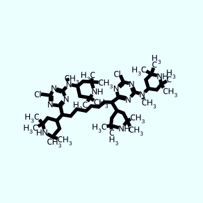 CN(c1nc(Cl)nc(C(CCCCCCC(c2nc(Cl)nc(N(C)C3CC(C)(C)NC(C)(C)C3)n2)C2CC(C)(C)NC(C)(C)C2)C2CC(C)(C)NC(C)(C)C2)n1)C1CC(C)(C)NC(C)(C)C1